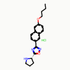 CCCCOc1ccc2cc(-c3noc([C@@H]4CCCN4)n3)ccc2c1.Cl